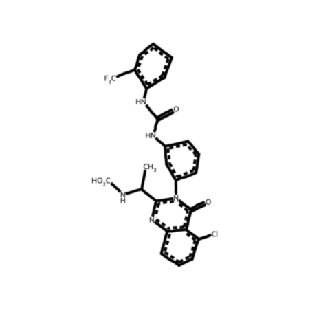 CC(NC(=O)O)c1nc2cccc(Cl)c2c(=O)n1-c1cccc(NC(=O)Nc2ccccc2C(F)(F)F)c1